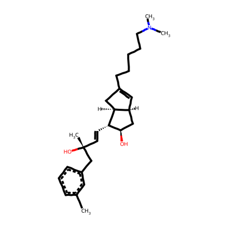 Cc1cccc(C[C@](C)(O)/C=C/[C@@H]2[C@H]3CC(CCCCCN(C)C)=C[C@H]3C[C@H]2O)c1